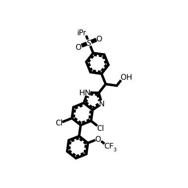 CC(C)S(=O)(=O)c1ccc(C(CO)c2nc3c(Cl)c(-c4ccccc4OC(F)(F)F)c(Cl)cc3[nH]2)cc1